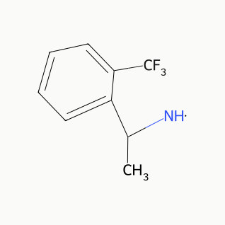 CC([NH])c1ccccc1C(F)(F)F